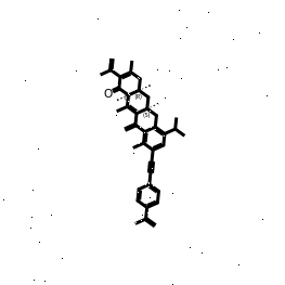 C=C(C)C1=C(C)C[C@@]2(C)C[C@@]3(C)Cc4c(C(C)C)cc(C#Cc5ccc(C(=C)C)cc5)c(C)c4C(=C)C3=C(C)[C@@]2(C)C1=O